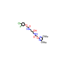 COc1cc(OC)nc(OCC(=O)NC[C@@H](O)CCNC(=O)COc2ccc(Cl)c(F)c2)n1